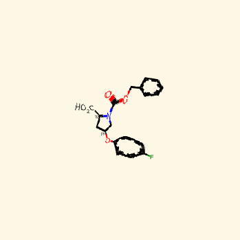 O=C(O)[C@@H]1C[C@H](Oc2ccc(F)cc2)CN1C(=O)OCc1ccccc1